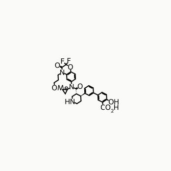 COCCCN1C(=O)C(F)(F)Oc2ccc(N(C(=O)[C@H]3CNCC[C@@H]3c3cccc(-c4ccc(O)c(C(=O)O)c4)c3)C3CC3)cc21